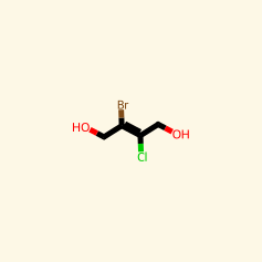 OCC(Cl)=C(Br)CO